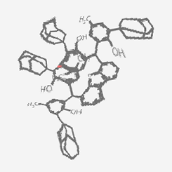 Cc1cc(C(c2cc(C)cc(C34CC5CC(CC(C5)C3)C4)c2O)c2cccc3c2sc2c(C(c4cc(C)cc(C56CC7CC(CC(C7)C5)C6)c4O)c4cc(C)cc(C56CC7CC(CC(C7)C5)C6)c4O)cccc23)c(O)c(C23CC4CC(CC(C4)C2)C3)c1